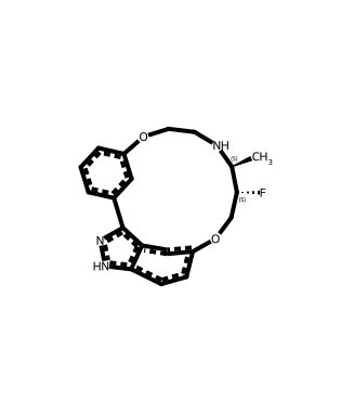 C[C@@H]1NCCOc2cccc(c2)-c2n[nH]c3ccc(cc23)OC[C@H]1F